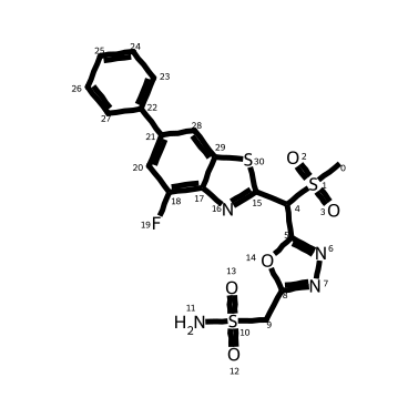 CS(=O)(=O)C(c1nnc(CS(N)(=O)=O)o1)c1nc2c(F)cc(-c3ccccc3)cc2s1